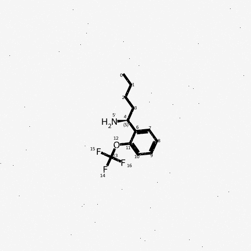 CCCC[C@H](N)c1ccccc1OC(F)(F)F